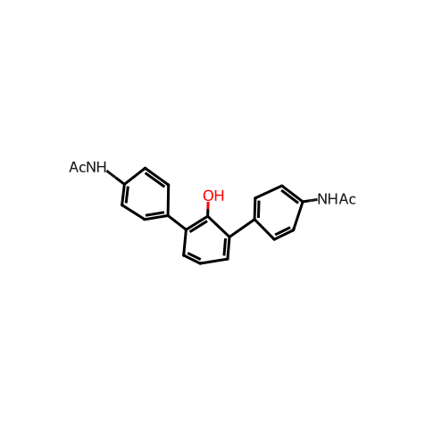 CC(=O)Nc1ccc(-c2cccc(-c3ccc(NC(C)=O)cc3)c2O)cc1